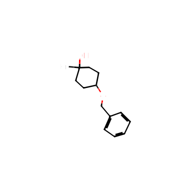 CC(C)C1(O)CCC(OCc2ccccc2)CC1